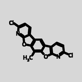 Cc1c2oc3nc(Cl)ccc3c2cc2c1oc1nc(Cl)ccc12